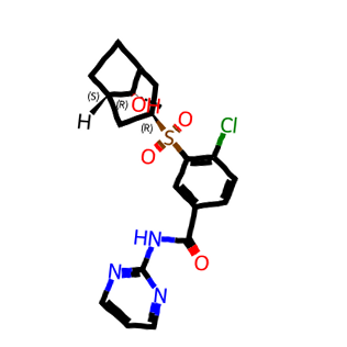 C[C@@]1(O)C2CC[C@H]1C[C@H](S(=O)(=O)c1cc(C(=O)Nc3ncccn3)ccc1Cl)C2